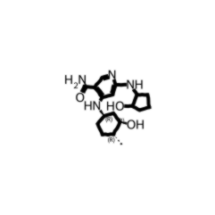 C[C@@H]1CC[C@@H](Nc2cc(NC3CCCC3O)ncc2C(N)=O)C[C@H]1O